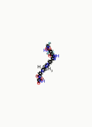 CC(C)(C1CCN(c2ccc3c(c2)CN(C2CCC(=O)NC2=O)C3=O)CC1)N1CCN(c2ccc(-c3cnc4[nH]cc(C(=O)c5c(F)ccc(NS(=O)(=O)N6CC[C@@H](F)C6)c5F)c4c3)cc2)CC1